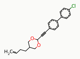 C=CCCC1COC(C#Cc2ccc(-c3ccc(Cl)cc3)cc2)OC1